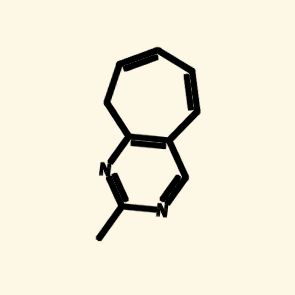 Cc1ncc2c(n1)CC=CC=C2